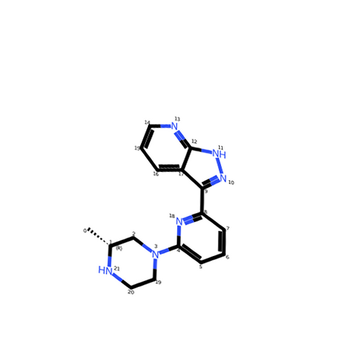 C[C@@H]1CN(c2cccc(-c3n[nH]c4ncccc34)n2)CCN1